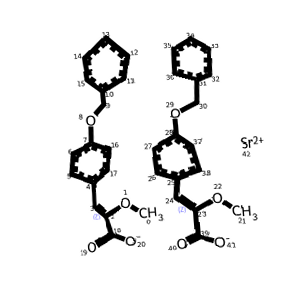 CO/C(=C\c1ccc(OCc2ccccc2)cc1)C(=O)[O-].CO/C(=C\c1ccc(OCc2ccccc2)cc1)C(=O)[O-].[Sr+2]